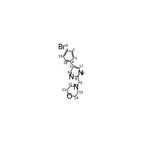 Brc1ccc(-c2cnc(CN3CCOCC3)nc2)cc1